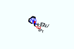 CC(C)OCCN1C2CC1CN(C(C)(C)C)C2